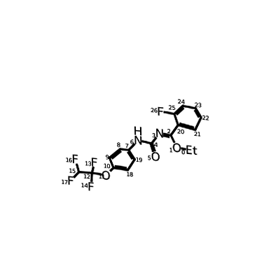 CCOC(=NC(=O)Nc1ccc(OC(F)(F)C(F)F)cc1)c1ccccc1F